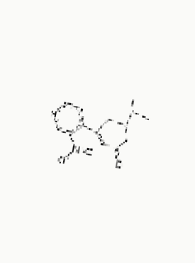 CC(C)C1CC(=O)C=C(c2ccncc2[N+](=O)[O-])C1